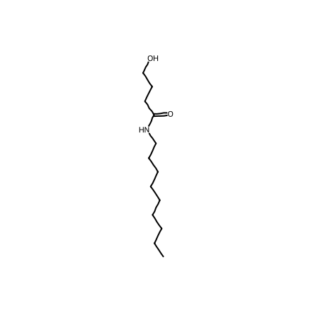 CCCCCCCCCNC(=O)CCCO